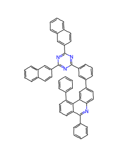 c1ccc(-c2nc3ccc(-c4cccc(-c5nc(-c6ccc7ccccc7c6)nc(-c6ccc7ccccc7c6)n5)c4)cc3c3c(-c4ccccc4)cccc23)cc1